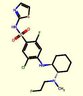 CN(CCF)[C@H]1CCCC[C@@H]1Nc1cc(F)c(S(=O)(=O)Nc2nccs2)cc1Cl